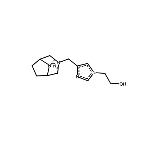 CN1C2CCC1CN(Cc1cn(CCO)cn1)C2